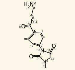 NCC=NC(=O)c1ccc(N2C(=O)CNC2=O)cc1